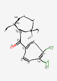 C[C@H]1CCCC(C)(C)[C@H]1C(=O)c1ccc(Cl)c(Cl)c1